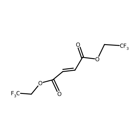 O=C(/C=C/C(=O)OCC(F)(F)F)OCC(F)(F)F